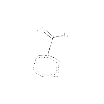 N=C(N=O)c1ccccn1